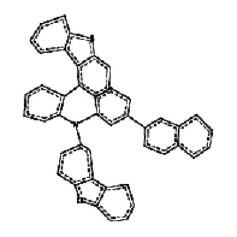 c1cc(-c2ccc3ccccc3c2)cc(N(c2ccc3oc4ccccc4c3c2)c2ccccc2-c2cccc3sc4ccccc4c23)c1